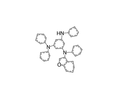 c1ccc(Nc2cc(N(c3ccccc3)c3ccccc3)cc(N(c3ccccc3)c3coc4ccccc34)c2)cc1